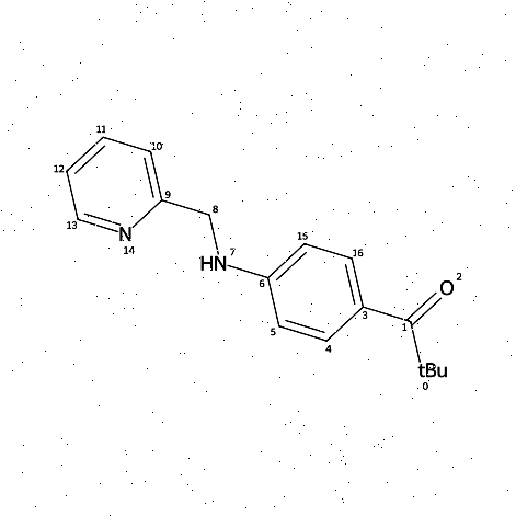 CC(C)(C)C(=O)c1ccc(NCc2ccccn2)cc1